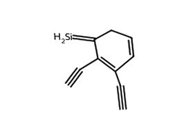 C#CC1=C(C#C)C(=[SiH2])CC=C1